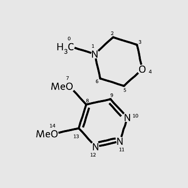 CN1CCOCC1.COc1cnnnc1OC